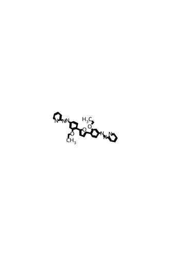 CCOc1cc(/N=N/c2ccccn2)ccc1-c1ccc(-c2ccc(/N=N/c3ccccn3)cc2OCC)o1